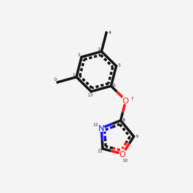 Cc1cc(C)cc(Oc2co[c]n2)c1